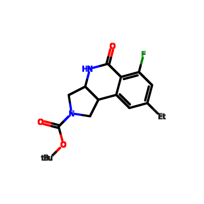 CCc1cc(F)c2c(c1)C1CN(C(=O)OC(C)(C)C)CC1NC2=O